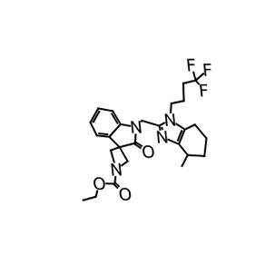 CCOC(=O)N1CC2(C1)C(=O)N(Cc1nc3c(n1CCCC(F)(F)F)CCCC3C)c1ccccc12